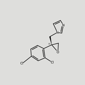 Clc1ccc([C@]2(Cn3ccnc3)CO2)c(Cl)c1